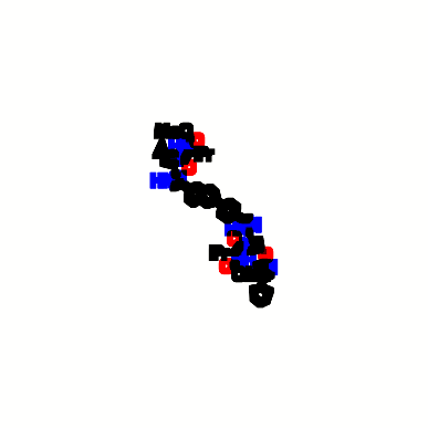 COC(=O)N[C@H](C(=O)N1CC2(CC2)C[C@H]1c1nc(-c2ccc3cc(-c4ccc(-c5cnc([C@@H]6C[C@H](Oc7cnc(C8CCCCC8)cn7)CN6C(=O)[C@@H](NC(=O)OC)C(C)C)[nH]5)cc4)ccc3c2)c[nH]1)C(C)C